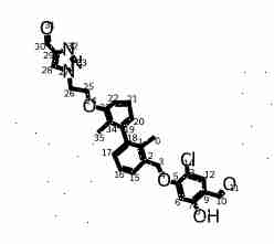 Cc1c(COc2cc(O)c(C=O)cc2Cl)cccc1-c1cccc(OCCn2cc(C=O)nn2)c1C